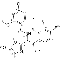 COc1cc(Cl)ccc1SN[C@H](c1n[nH]c(=O)o1)C(C)c1ccc(F)c(C)c1C